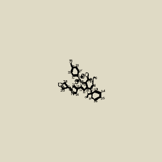 CCC1(c2cn(C)c(=O)c3c2cc(-c2cnn(C4COC4)c2)n3S(=O)(=O)c2ccc(C)cc2)C=CC=CC1